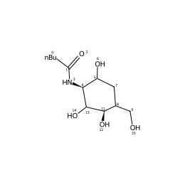 CCCCC(=O)N[C@H]1C(O)CC(CO)[C@@H](O)C1O